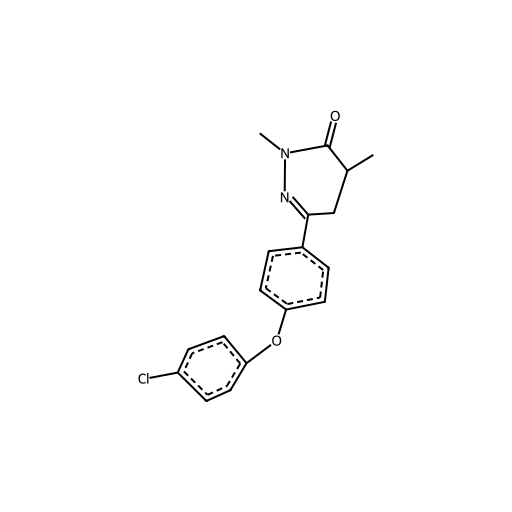 CC1CC(c2ccc(Oc3ccc(Cl)cc3)cc2)=NN(C)C1=O